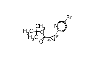 CC(C)(C)OC(=O)[C@@H]1C[C@H]1c1ccc(Br)cn1